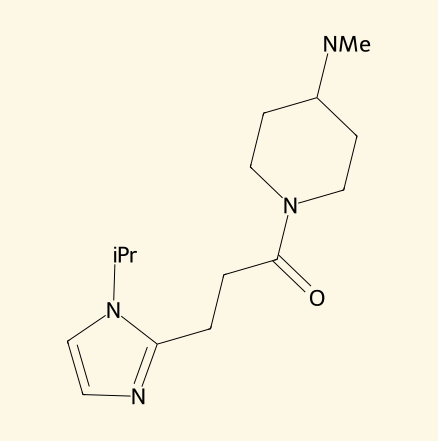 CNC1CCN(C(=O)CCc2nccn2C(C)C)CC1